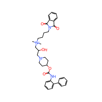 C[N+](C)(CCCCN1C(=O)c2ccccc2C1=O)CC(O)CN1CCC(OC(=O)Nc2ccccc2-c2ccccc2)CC1